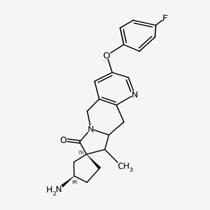 CC1C2Cc3ncc(Oc4ccc(F)cc4)cc3CN2C(=O)[C@]12CC[C@@H](N)C2